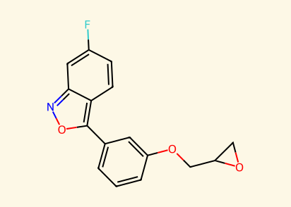 Fc1ccc2c(-c3cccc(OCC4CO4)c3)onc2c1